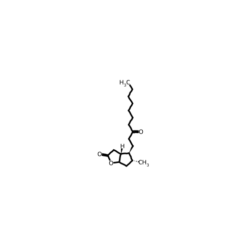 CCCCCCCC(=O)CC[C@H]1[C@H](C)CC2OC(=O)C[C@@H]21